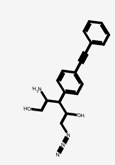 [N-]=[N+]=NCC(O)C(c1ccc(C#Cc2ccccc2)cc1)C(N)CO